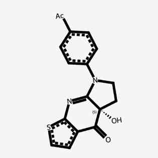 CC(=O)c1ccc(N2CC[C@@]3(O)C(=O)c4ccsc4N=C23)cc1